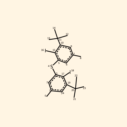 Cc1cc(Sc2cc(C)cc(C(C)(C)C)c2I)c(I)c(C(C)(C)C)c1